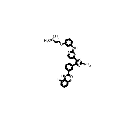 CN(C)CCOc1cccc(Nc2nccc(-c3sc(N)nc3-c3cccc(C(=O)Nc4c(F)cccc4F)c3)n2)c1